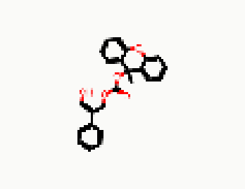 CC1(OC(=O)OCC(=CO)c2ccccc2)c2ccccc2Oc2ccccc21